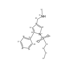 CCCCS(=O)(=O)n1cc(CNC)cc1-c1ccccc1